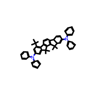 CC(C)(C)c1cc(N(c2ccccc2)c2ccccc2)cc2c1-c1ccc3c(c1C2(C)C)C(C)(C)C1C=C(N(c2ccccc2)c2ccccc2)C=CC31